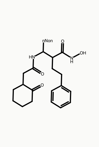 CCCCCCCCCC(NC(=O)CC1CCCCC1=O)C(CCc1ccccc1)C(=O)NO